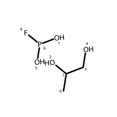 CC(O)CO.OP(O)F